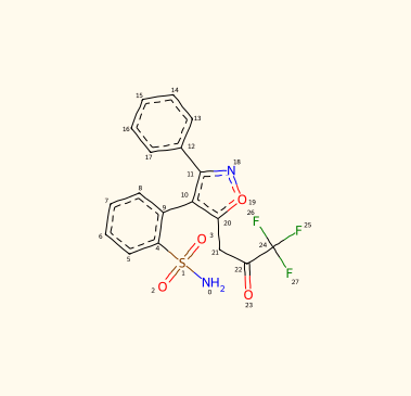 NS(=O)(=O)c1ccccc1-c1c(-c2ccccc2)noc1CC(=O)C(F)(F)F